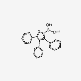 OB(O)c1oc(-c2ccccc2)c(-c2ccccc2)c1-c1ccccc1